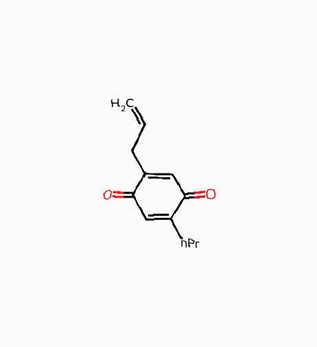 C=CCC1=CC(=O)C(CCC)=CC1=O